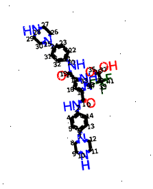 O=C(Nc1ccc(N2CCNCC2)cc1)c1cc(C(=O)Nc2ccc(N3CCNCC3)cc2)[nH]n1.O=C(O)C(F)(F)F